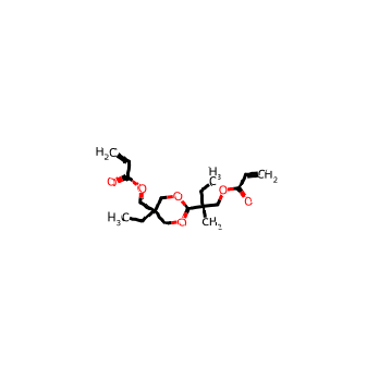 C=CC(=O)OCC1(CC)COC(C(C)(CC)COC(=O)C=C)OC1